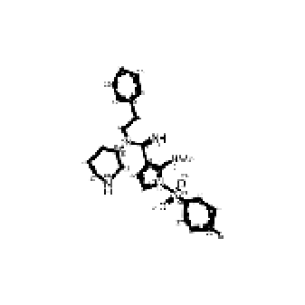 CNc1c(C(=N)N(CCc2ccccc2)[C@H]2CCCNC2)ccn1S(=O)(=O)c1ccc(C)cc1